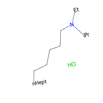 CCCCCCCCCCCCN(CC)C(C)C.Cl